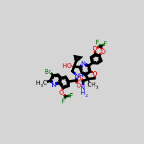 Cc1nc2c(OC(F)F)cc(C(=O)NC[C@](O)(c3cc4c(c(-c5ccc6c(c5)OC(F)(F)O6)n3)OC[C@]4(C)C(N)=O)C3CC3)cc2cc1Br